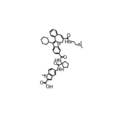 CN(C)CCNC(=O)C1=Cc2ccccc2-c2c(C3CCCCC3)c3ccc(C(=O)NC4(C(=O)Nc5ccc6c(c5)cc(C(=O)O)n6C)CCCC4)cc3n2C1